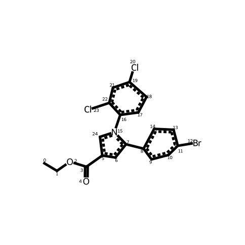 CCOC(=O)c1cc(-c2ccc(Br)cc2)n(-c2ccc(Cl)cc2Cl)c1